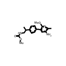 COc1nc(C)c(N)cc1-c1ccc(C(C)CNC(=O)OC(C)(C)C)cc1